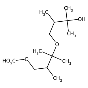 CC(COC(C)(C)C(C)COC(=O)O)C(C)(C)O